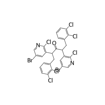 O=C(C(Cc1cccc(Cl)c1Cl)c1cc(Br)cnc1Cl)C(Cc1cccc(Cl)c1Cl)c1cc(Br)cnc1Cl